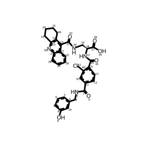 O=C(NCc1cccc(O)c1)c1ccc(C(=O)N[C@@H](CNC(=O)c2c3c(nc4ccccc24)CCCC3)C(=O)O)c(Cl)c1